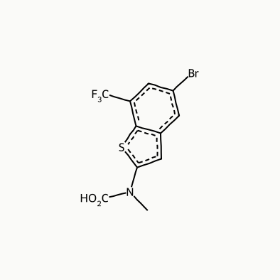 CN(C(=O)O)c1cc2cc(Br)cc(C(F)(F)F)c2s1